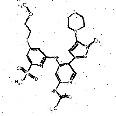 COCCOc1cc(Nc2cc(NC(C)=O)ncc2-c2cc(N3CCOCC3)n(C)n2)nc(S(C)(=O)=O)c1